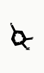 [C-]#[N+]c1ccc(F)cc1F